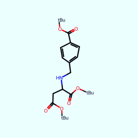 CC(C)(C)OC(=O)CC(NCc1ccc(C(=O)OC(C)(C)C)cc1)C(=O)OC(C)(C)C